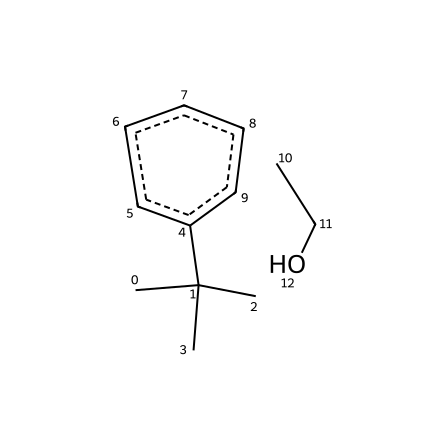 CC(C)(C)c1ccccc1.CCO